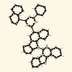 c1ccc(-c2nc(-c3cccc4ccccc34)nc(-c3cc4c5ccccc5n(-c5nc6ccccc6c6nc7ccccc7n56)c4c4ccccc34)n2)cc1